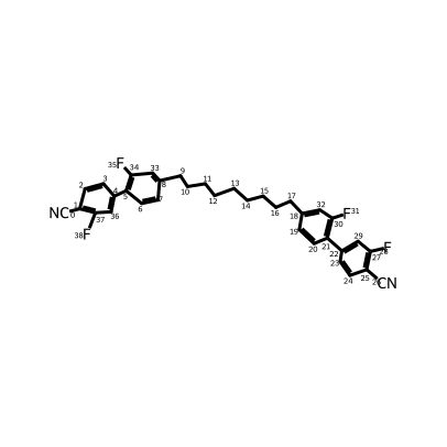 N#Cc1ccc(-c2ccc(CCCCCCCCCc3ccc(-c4ccc(C#N)c(F)c4)c(F)c3)cc2F)cc1F